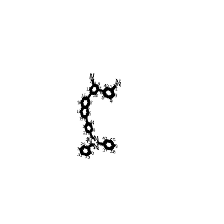 N#Cc1cccc(-c2cc(C#N)cc(-c3ccc4ccc(-c5ccc(-c6nc(-c7ccccc7)nc(-c7ccccc7)n6)cc5)cc4c3)c2)c1